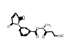 CN(OC(=O)c1cccc(N2C(=O)C=CC2=O)c1)C(=O)CCC=O